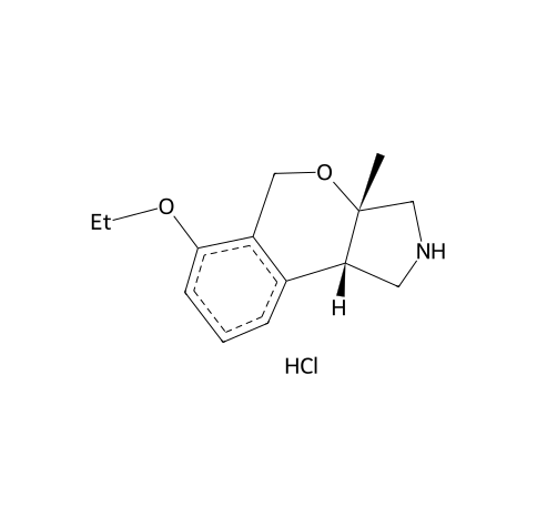 CCOc1cccc2c1CO[C@]1(C)CNC[C@H]21.Cl